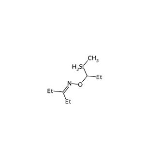 CCC(CC)=NOC(CC)[SiH2]C